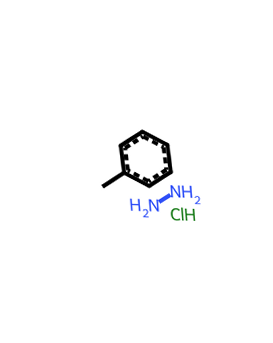 Cc1ccccc1.Cl.NN